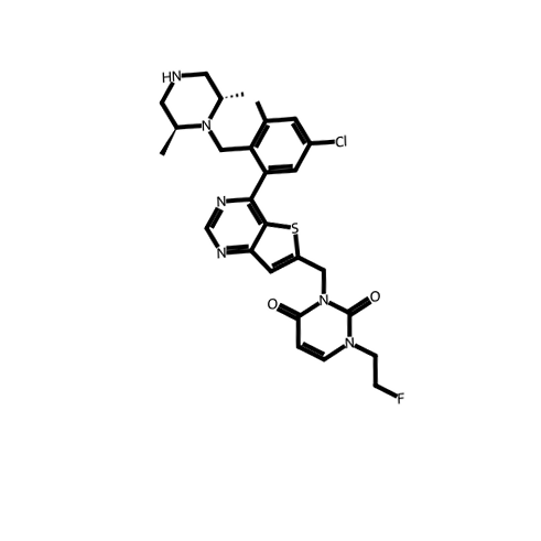 Cc1cc(Cl)cc(-c2ncnc3cc(Cn4c(=O)ccn(CCF)c4=O)sc23)c1CN1[C@@H](C)CNC[C@@H]1C